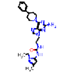 CCn1nc(C)cc1NC(=O)NCCn1cnc2c(N3CCC(c4ccccc4)CC3)nc(N)nc21